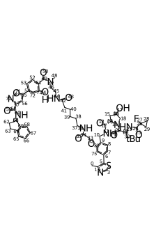 Cc1ncsc1-c1ccc(CNC(=O)[C@@H]2C[C@@H](O)CN2C(=O)[C@@H](NC(=O)C2(F)CC2)C(C)(C)C)c(OCC(=O)NCCCCCC(=O)NCCN(C)C(=O)c2ccc(-c3cc(C(=O)N[C@@H]4CCc5ccccc54)no3)cc2O)c1